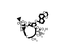 C[C@H]1CC/C=C\[C@@H]2C[C@@]2(C(=O)NS(=O)(=O)C2CC2)NC(=O)[C@@H]2C[C@@H](Oc3nccc4c5c(ccc34)OCCO5)CN2C(=O)[C@@H](N(C(=O)O)C(C)(C)C)[C@H](C)C1